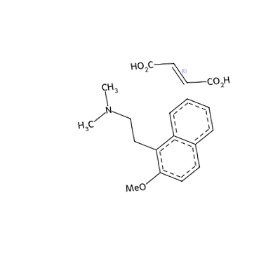 COc1ccc2ccccc2c1CCN(C)C.O=C(O)/C=C/C(=O)O